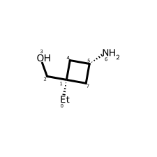 CC[C@]1(CO)C[C@H](N)C1